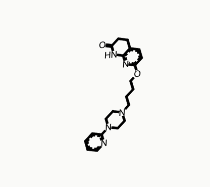 O=C1CCc2ccc(OCCCCN3CCN(c4ccccn4)CC3)nc2N1